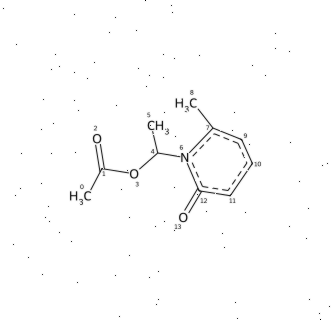 CC(=O)OC(C)n1c(C)cccc1=O